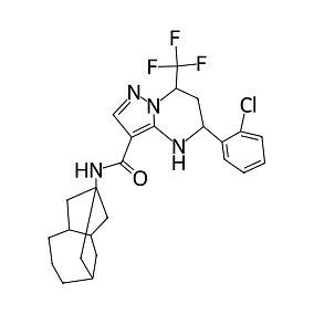 O=C(NC12CC3CCCC(C1)C(C3)C2)c1cnn2c1NC(c1ccccc1Cl)CC2C(F)(F)F